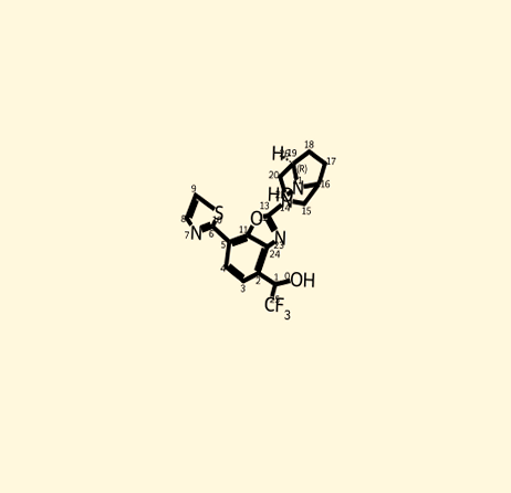 OC(c1ccc(-c2nccs2)c2oc(N3CC4CC[C@H](C3)N4O)nc12)C(F)(F)F